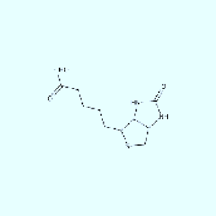 O=CC(=O)CCCCC1SCC2NC(=O)NC21